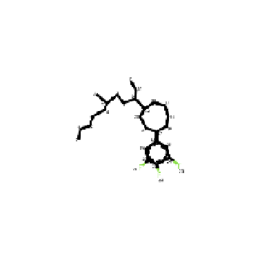 CCCCCC(C)CCC(CC)C1CCCCC(c2cc(F)c(F)c(F)c2)CC1